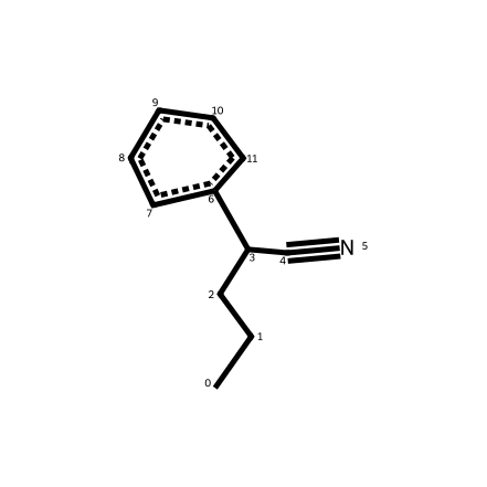 CCCC(C#N)c1c[c]ccc1